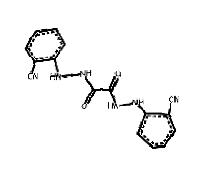 N#Cc1ccccc1NNC(=O)C(=O)NNc1ccccc1C#N